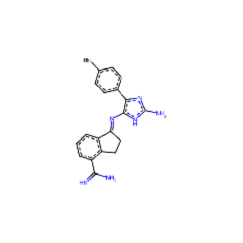 CC(C)(C)c1ccc(-c2nc(N)[nH]c2N=C2CCc3c(C(=N)N)cccc32)cc1